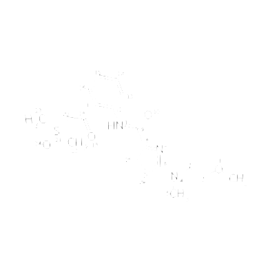 COCCN(C)c1nc(C(=O)Nc2ccccc2C(=O)C=S(C)(C)=O)cs1